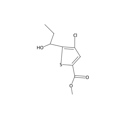 CCC(O)c1sc(C(=O)OC)cc1Cl